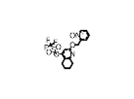 O=S(=O)(Oc1cc(OCc2cccc[n+]2[O-])nc2c1CCCC2)C(F)(F)F